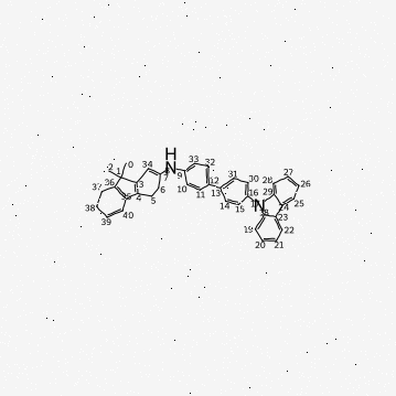 CC1(C)C2=C(CCC(Nc3ccc(-c4ccc(-n5c6ccccc6c6ccccc65)cc4)cc3)=C2)C2=C1CCC=C2